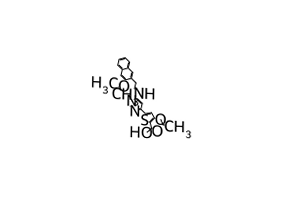 CCOc1cc(-c2cc(NCCc3cc4ccccc4cc3OC(C)C)ncn2)sc1C(=O)O